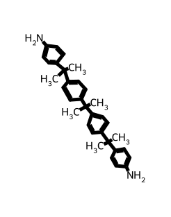 CC(C)(c1ccc(N)cc1)c1ccc(C(C)(C)c2ccc(C(C)(C)c3ccc(N)cc3)cc2)cc1